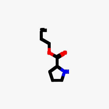 CC(C)(C)CCOC(=O)C1CCCN1